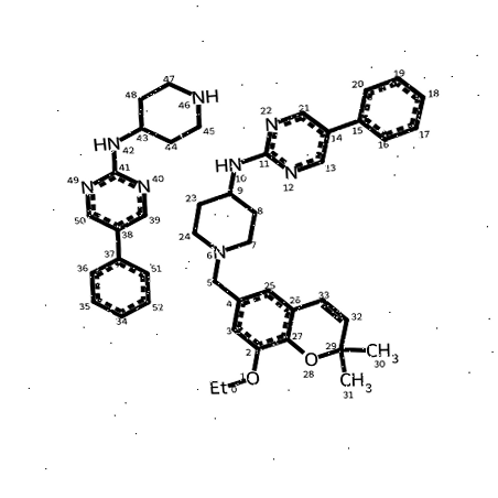 CCOc1cc(CN2CCC(Nc3ncc(-c4ccccc4)cn3)CC2)cc2c1OC(C)(C)C=C2.c1ccc(-c2cnc(NC3CCNCC3)nc2)cc1